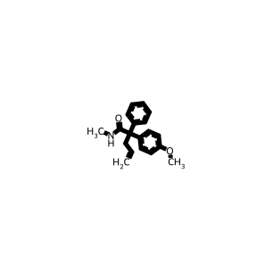 C=CCC(C(=O)NC)(c1ccccc1)c1ccc(OC)cc1